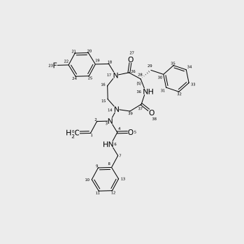 C=CCN(C(=O)NCc1ccccc1)N1CCN(Cc2ccc(F)cc2)C(=O)[C@H](Cc2ccccc2)NC(=O)C1